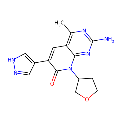 Cc1nc(N)nc2c1cc(-c1cn[nH]c1)c(=O)n2C1CCOC1